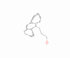 [O]CCCc1c2ccccc2cc2ccccc12